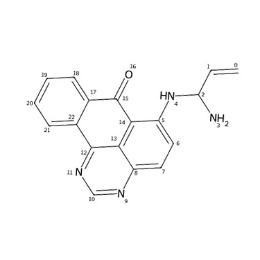 C=CC(N)Nc1ccc2ncnc3c2c1C(=O)c1ccccc1-3